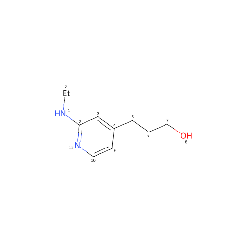 CCNc1cc(CCCO)ccn1